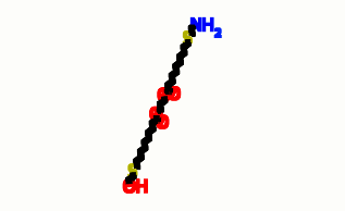 NCCSCCCCCCCCCCC(=O)OCCCOC(=O)CCCCCCCCCCSCCO